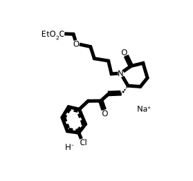 CCOC(=O)COCCCCN1C(=O)CCC[C@@H]1/C=C/C(=O)Cc1cccc(Cl)c1.[H-].[Na+]